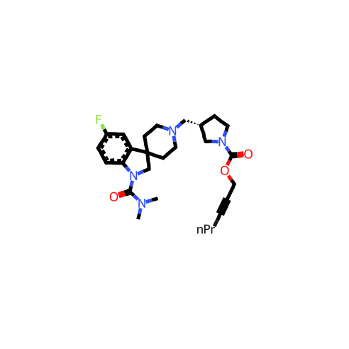 CCCC#CCOC(=O)N1CC[C@@H](CN2CCC3(CC2)CN(C(=O)N(C)C)c2ccc(F)cc23)C1